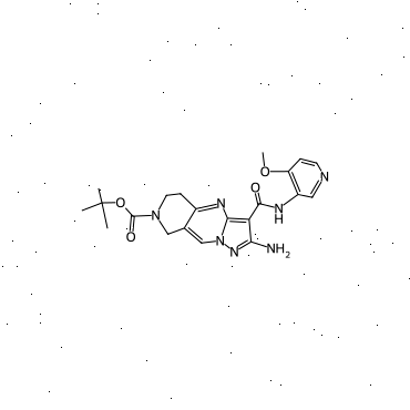 COc1ccncc1NC(=O)c1c(N)nn2cc3c(nc12)CCN(C(=O)OC(C)(C)C)C3